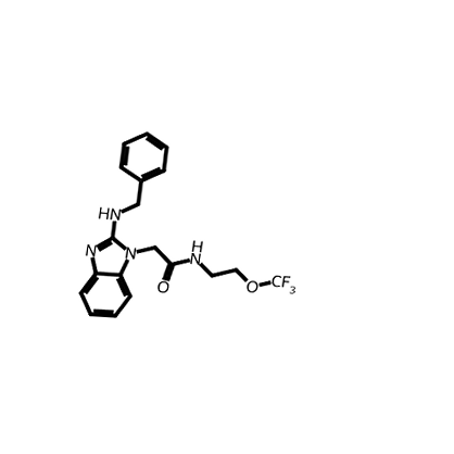 O=C(Cn1c(NCc2ccccc2)nc2ccccc21)NCCOC(F)(F)F